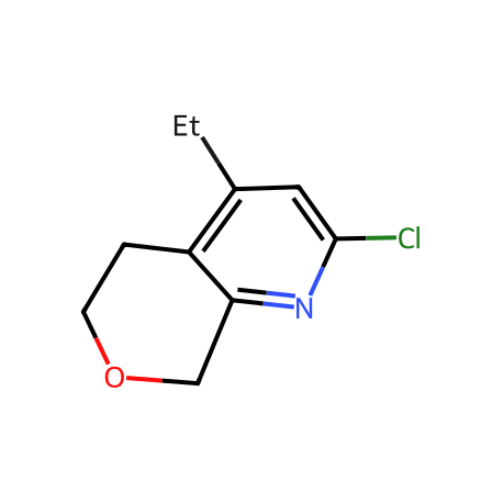 CCc1cc(Cl)nc2c1CCOC2